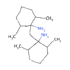 CC1CCCC(C)C1(N)CC1(N)C(C)CCCC1C